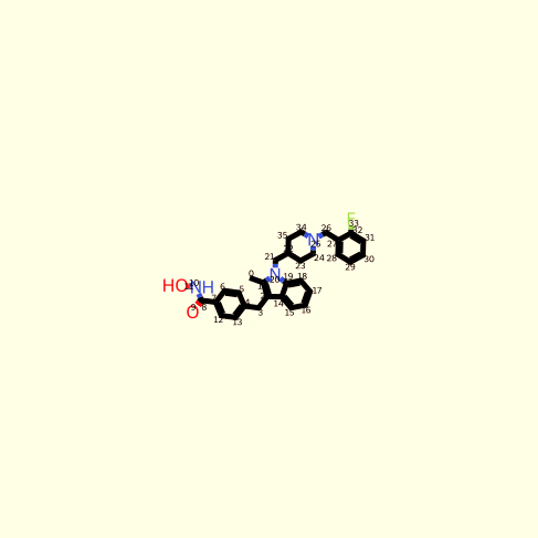 Cc1c(Cc2ccc(C(=O)NO)cc2)c2ccccc2n1CC1CCN(Cc2ccccc2F)CC1